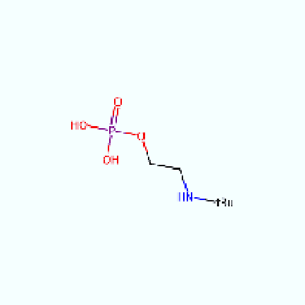 CC(C)(C)NCCOP(=O)(O)O